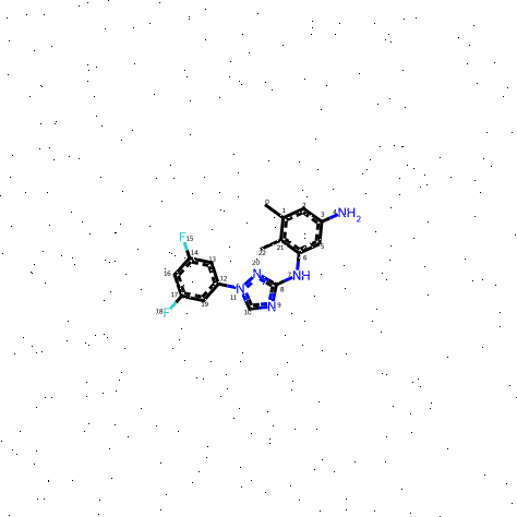 Cc1cc(N)cc(Nc2ncn(-c3cc(F)cc(F)c3)n2)c1C